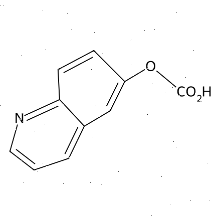 O=C(O)Oc1ccc2ncccc2c1